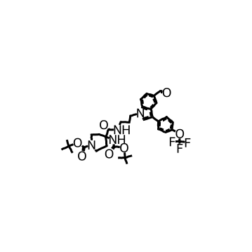 CC(C)(C)OC(=O)NC1(C(=O)NCCCn2cc(-c3ccc(OC(F)(F)F)cc3)c3cc(C=O)ccc32)CCN(C(=O)OC(C)(C)C)CC1